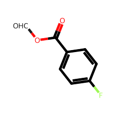 O=COC(=O)c1ccc(F)cc1